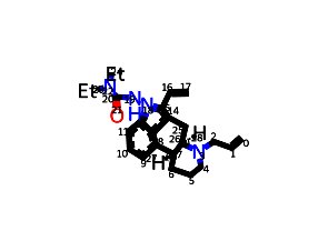 C=CCN1CCC[C@@H]2c3cccc4c3c(c(C=C)n4NC(=O)N(CC)CC)C[C@H]21